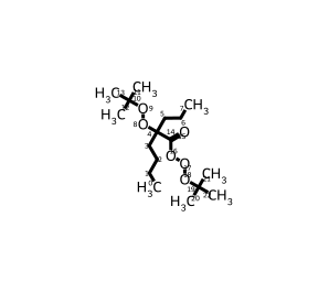 CCCCC(CCC)(OOC(C)(C)C)C(=O)OOOC(C)(C)C